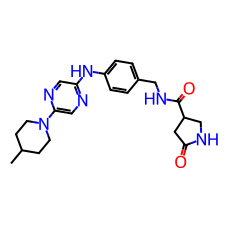 CC1CCN(c2cnc(Nc3ccc(CNC(=O)C4CNC(=O)C4)cc3)cn2)CC1